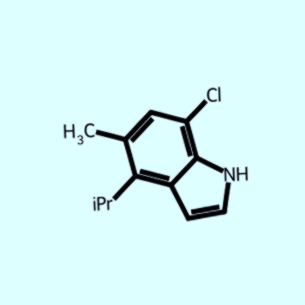 Cc1cc(Cl)c2[nH]ccc2c1C(C)C